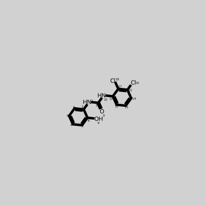 O=C(Nc1ccccc1O)Nc1cccc(Cl)c1Cl